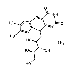 Cc1cc2nc3c(=O)[nH]c(=O)nc-3n(C[C@H](O)[C@H](O)[C@H](O)CO)c2cc1C.[SiH4]